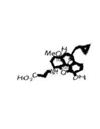 CO[C@@]12CCC(NCCC(=O)O)C3Oc4c(O)ccc5c4[C@@]31CCN(CC1CC1)[C@@H]2C5